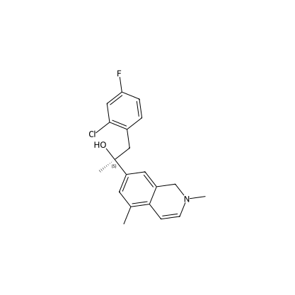 Cc1cc([C@@](C)(O)Cc2ccc(F)cc2Cl)cc2c1C=CN(C)C2